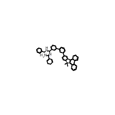 CC1(C)c2ccc(-c3cccc(-c4cccc(C(/N=C(\N)C5=CCCC=C5)NCc5ccccc5)c4)c3)cc2-c2c1c1ccccc1c1ccccc21